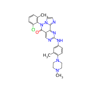 Cc1cc(Nc2ncc3c(=O)n(-c4c(C)cccc4Cl)n4ccnc4c3n2)ccc1N1CCN(C)CC1